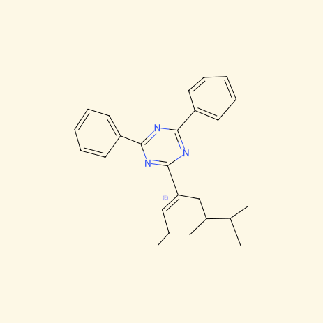 CC/C=C(\CC(C)C(C)C)c1nc(-c2ccccc2)nc(-c2ccccc2)n1